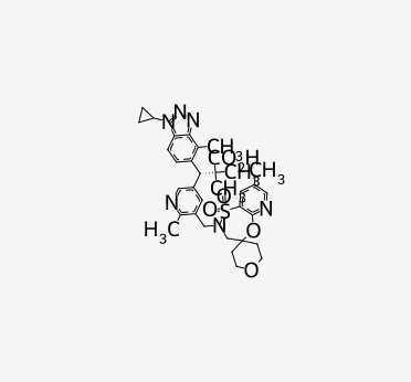 Cc1cnc2c(c1)S(=O)(=O)N(Cc1cc([C@H](c3ccc4c(nnn4C4CC4)c3C)C(C)(C)C(=O)O)cnc1C)CC1(CCOCC1)O2